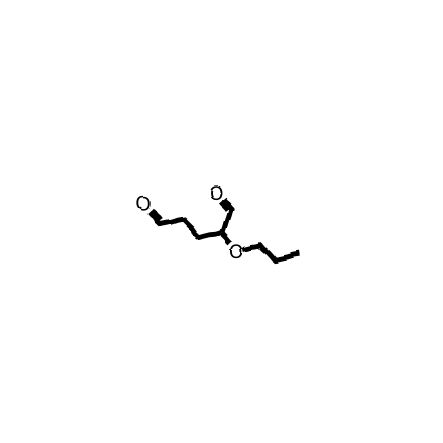 CCCOC(C=O)CCC=O